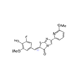 COc1cccc(-c2cn3c(=O)/c(=C/c4cc(F)c(O)c(OC)c4)sc3n2)n1